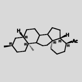 CC(=O)[C@H]1CCC[C@]23CCC4C(CC[C@H]5C[C@H](C)CC[C@]45C)C2CC[C@H]13